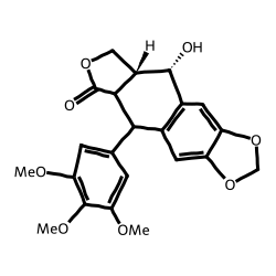 COc1cc(C2c3cc4c(cc3[C@@H](O)[C@H]3COC(=O)C23)OCO4)cc(OC)c1OC